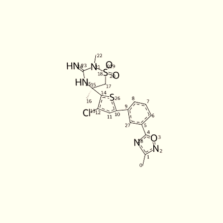 Cc1noc(-c2cccc(-c3cc(Cl)c([C@]4(C)CS(=O)(=O)N(C)C(=N)N4)s3)c2)n1